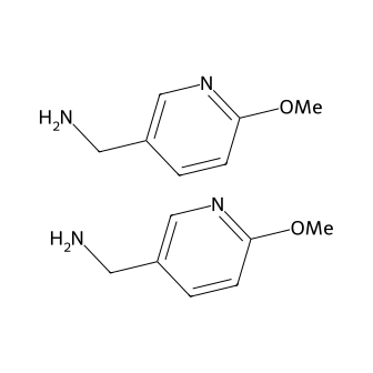 COc1ccc(CN)cn1.COc1ccc(CN)cn1